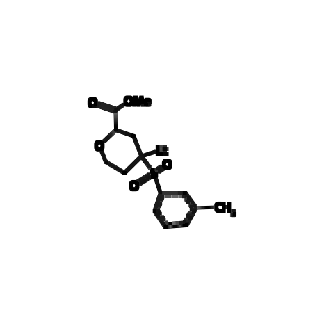 CCC1(S(=O)(=O)c2cccc(C)c2)CCOC(C(=O)OC)C1